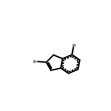 BrC1=Cc2cccc(Br)c2C1